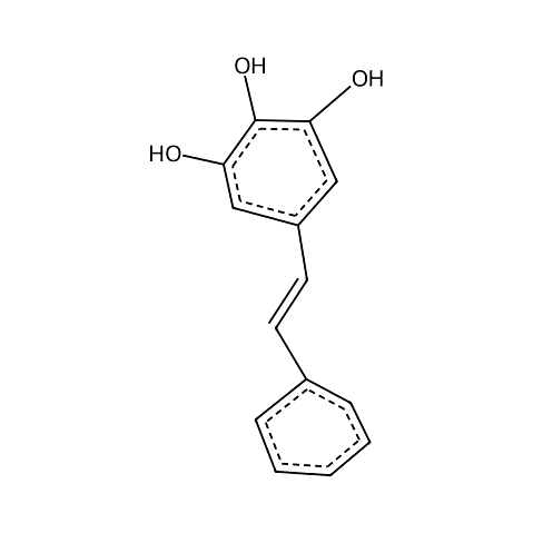 Oc1cc(C=Cc2ccccc2)cc(O)c1O